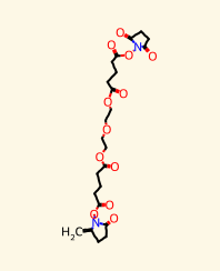 C=C1CCC(=O)N1OC(=O)CCCC(=O)OCCOCCOC(=O)CCCC(=O)ON1C(=O)CCC1=O